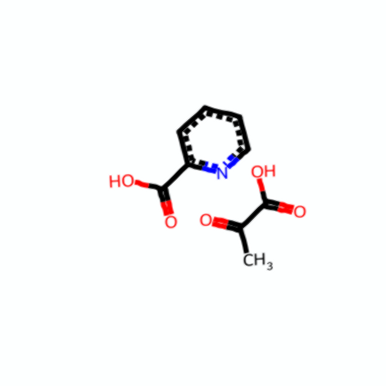 CC(=O)C(=O)O.O=C(O)c1ccccn1